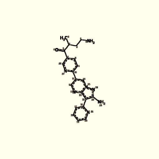 CC(CCN)C(=O)c1ccc(-c2cnc3c(-c4ccccn4)c(N)nn3c2)nc1